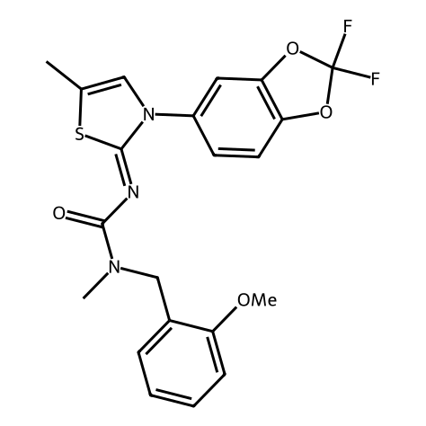 COc1ccccc1CN(C)C(=O)/N=c1\sc(C)cn1-c1ccc2c(c1)OC(F)(F)O2